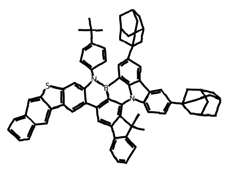 CC(C)(C)c1ccc(N2B3c4c(cc5c(c4-n4c6ccc(C78CC9CC(CC(C9)C7)C8)cc6c6cc(C78CC9CC(CC(C9)C7)C8)cc3c64)C(C)(C)c3ccccc3-5)-c3cc4c(cc32)sc2cc3ccccc3cc24)cc1